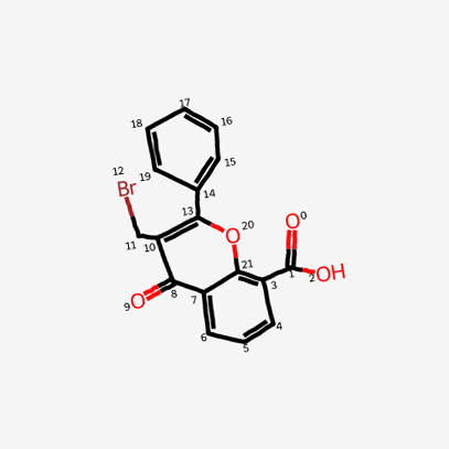 O=C(O)c1cccc2c(=O)c(CBr)c(-c3ccccc3)oc12